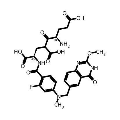 COc1nc2ccc(CN(C)c3ccc(C(=O)N[C@H](CC(C(=O)O)C(=O)[C@H](N)CCC(=O)O)C(=O)O)c(F)c3)cc2c(=O)[nH]1